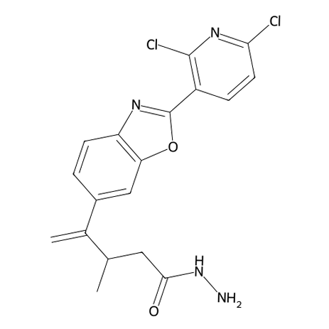 C=C(c1ccc2nc(-c3ccc(Cl)nc3Cl)oc2c1)C(C)CC(=O)NN